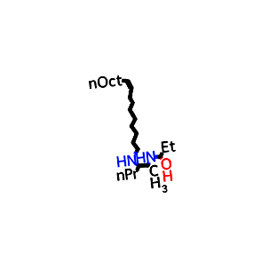 CCCCCCCC/C=C\CCCCCCCCNC(CCC)C(C)NC(O)CC